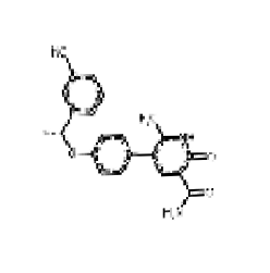 C[C@@H](Oc1ccc(-c2cc(C(N)=O)c(=O)[nH]c2C(F)(F)F)cc1)c1cccc(C#N)c1